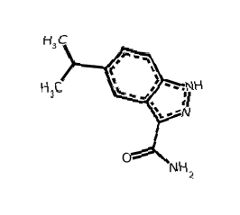 CC(C)c1ccc2[nH]nc(C(N)=O)c2c1